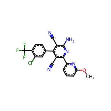 COc1cccc(-c2nc(N)c(C#N)c(-c3ccc(C(F)(F)F)c(Cl)c3)c2C#N)n1